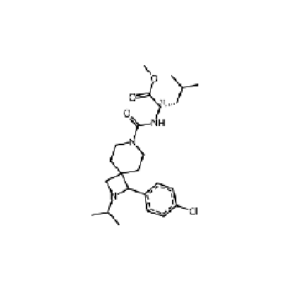 COC(=O)[C@H](CC(C)C)NC(=O)N1CCC2(CC1)CN(C(C)C)C2c1ccc(Cl)cc1